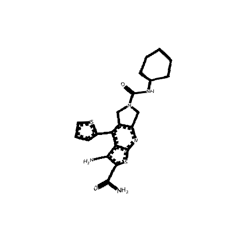 NC(=O)c1sc2nc3c(c(-c4cccs4)c2c1N)CN(C(=O)NC1CCCCC1)C3